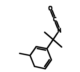 CC1C=C(C(C)(C)N=C=O)C=CC1